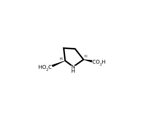 O=C(O)[C@@H]1CC[C@H](C(=O)O)N1